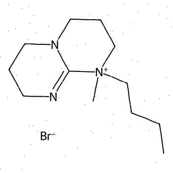 CCCC[N+]1(C)CCCN2CCCN=C21.[Br-]